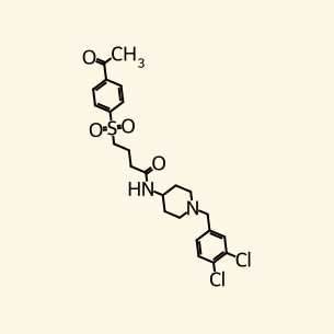 CC(=O)c1ccc(S(=O)(=O)CCCC(=O)NC2CCN(Cc3ccc(Cl)c(Cl)c3)CC2)cc1